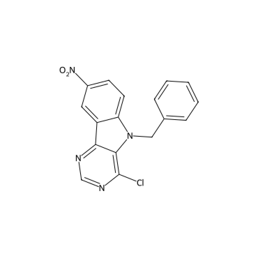 O=[N+]([O-])c1ccc2c(c1)c1ncnc(Cl)c1n2Cc1ccccc1